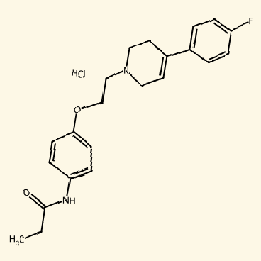 CCC(=O)Nc1ccc(OCCN2CC=C(c3ccc(F)cc3)CC2)cc1.Cl